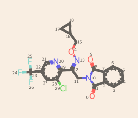 O=C1c2ccccc2C(=O)N1CC(=NOCC1CC1)c1ncc(C(F)(F)F)cc1Cl